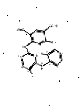 COc1cc(C(=O)O)c(F)cc1Nc1ncc(Cl)c(Nc2ccccc2I)n1